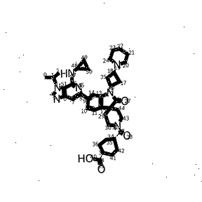 CC(C)n1cnc2cc(-c3ccc4c(c3)N([C@H]3C[C@@H](N5CCCCC5)C3)C(=O)C43CCN(C(=O)[C@H]4CC[C@@H](C(=O)O)CC4)CC3)nc(NC3CC3)c21